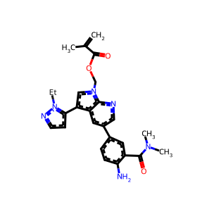 C=C(C)C(=O)OCn1cc(-c2ccnn2CC)c2cc(-c3ccc(N)c(C(=O)N(C)C)c3)cnc21